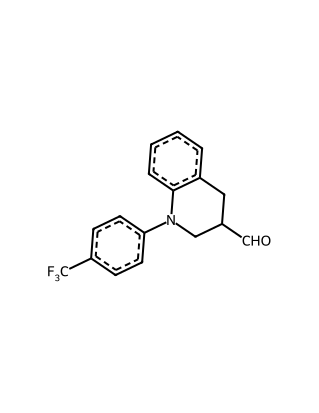 O=CC1Cc2ccccc2N(c2ccc(C(F)(F)F)cc2)C1